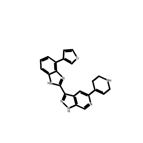 C1=C(c2cc3c(-c4nc5c(-c6ccoc6)cccc5[nH]4)n[nH]c3cn2)CCNC1